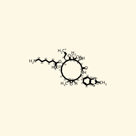 C=CC[C@H]1C(=O)C(C)(C)[C@@H](O)CC(=O)N[C@H](c2ccc3sc(C)nc3c2)C[C@@H]2O[C@]2(C)CCC[C@H](C)[C@@H]1OC(=O)CCCCCN